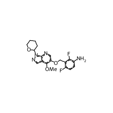 COc1c(OCc2c(F)ccc(N)c2F)cnc2c1cnn2C1CCCCO1